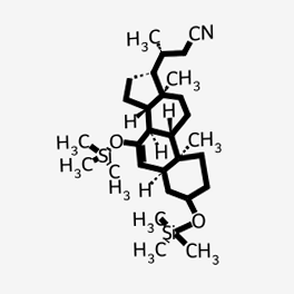 C[C@H](CC#N)[C@H]1CC[C@H]2[C@@H]3C(O[Si](C)(C)C)=C[C@@H]4CC(O[Si](C)(C)C)CC[C@]4(C)[C@H]3CC[C@]12C